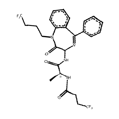 C[C@H](NC(=O)CCC(F)(F)F)C(=O)NC1N=C(c2ccccc2)c2ccccc2N(CCCC(F)(F)F)C1=O